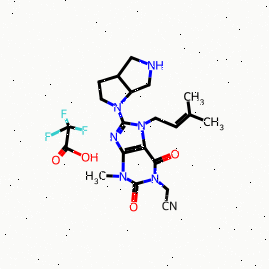 CC(C)=CCn1c(N2CCC3CNCC32)nc2c1c(=O)n(CC#N)c(=O)n2C.O=C(O)C(F)(F)F